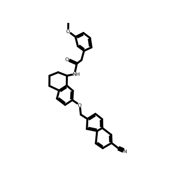 COc1cccc(CC(=O)NC2CCCc3ccc(OCc4ccc5cc(C#N)ccc5c4)cc32)c1